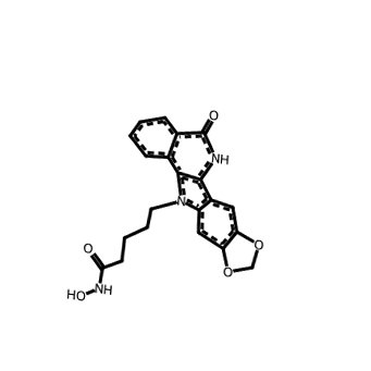 O=C(CCCCn1c2cc3c(cc2c2[nH]c(=O)c4ccccc4c21)OCO3)NO